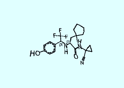 CC1(C[C@H](N[C@@H](c2ccc(O)cc2)C(F)(F)F)C(=O)NC2(C#N)CC2)CCCC1